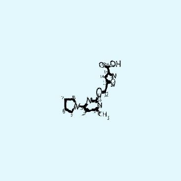 Cc1cc(N2CCCC2)nc(OCc2cc(C(=O)O)no2)n1